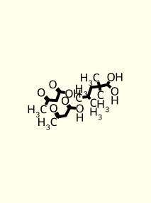 CC(=O)CC(=O)O.CC(=O)CC(=O)O.CC(C)CC(C)(C)C(O)O